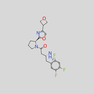 N[C@@H](CC(=O)N1CCC[C@H]1c1nc(C2COC2)co1)Cc1cc(F)c(F)cc1F